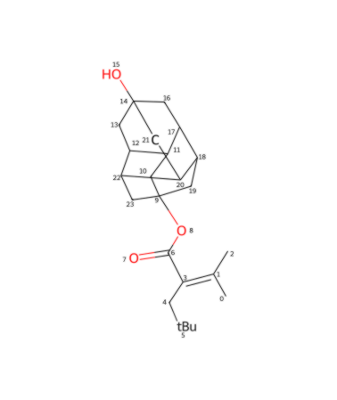 CC(C)=C(CC(C)(C)C)C(=O)OC12CC3C4CC5(O)CC3C(C1)C(C5)C4C2